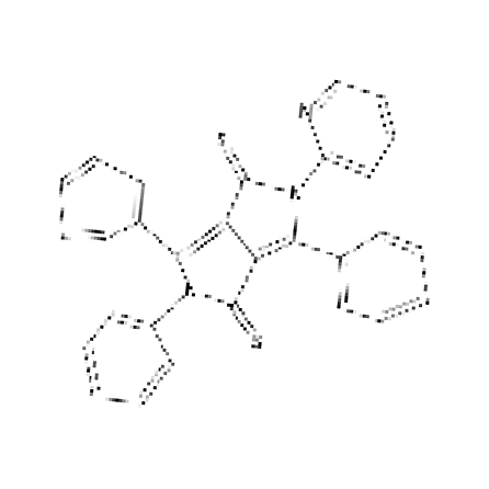 S=C1C2=C(c3ccccc3)N(c3ccccn3)C(=S)C2=C(c2ccccc2)N1c1ccccc1